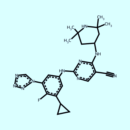 CC1(C)CC(Nc2nc(Nc3cc(C4CC4)c(F)c(-n4cnnn4)c3)ncc2C#N)CC(C)(C)N1